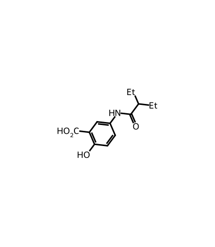 CCC(CC)C(=O)Nc1ccc(O)c(C(=O)O)c1